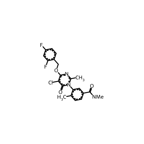 CNC(=O)c1ccc(C)c(-n2c(C)nc(OCc3ccc(F)cc3F)c(Cl)c2=O)c1